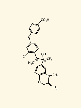 C=C1COc2ccc([C@](O)([C@H](C)c3ccc(Oc4ccc(C(=O)O)cc4)cc3Cl)C(F)(F)F)cc2N1C